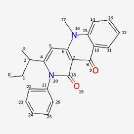 CCC(C)c1cc2c(c(=O)c3ccccc3n2C)c(=O)n1-c1ccccc1